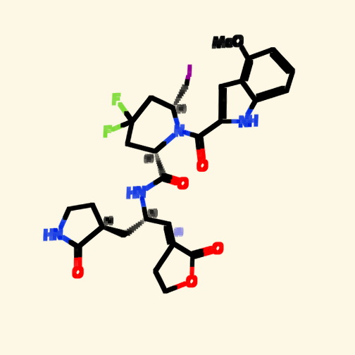 COc1cccc2[nH]c(C(=O)N3[C@@H](CI)CC(F)(F)C[C@H]3C(=O)N[C@H](/C=C3\CCOC3=O)C[C@@H]3CCNC3=O)cc12